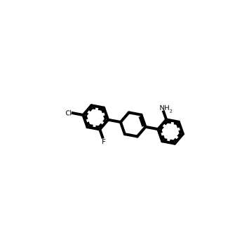 Nc1ccccc1C1=CCC(c2ccc(Cl)cc2F)CC1